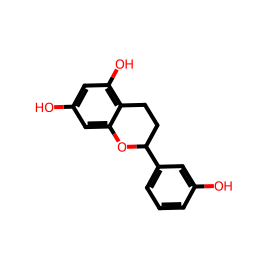 Oc1cccc(C2CCc3c(O)cc(O)cc3O2)c1